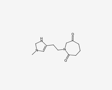 CN1C=C(CCN2CC(=O)CCCC2=O)NC1